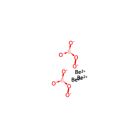 [Be+2].[Be+2].[Be+2].[O-]OB([O-])[O-].[O-]OB([O-])[O-]